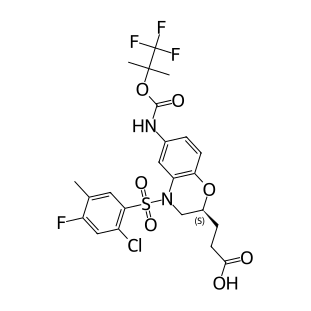 Cc1cc(S(=O)(=O)N2C[C@H](CCC(=O)O)Oc3ccc(NC(=O)OC(C)(C)C(F)(F)F)cc32)c(Cl)cc1F